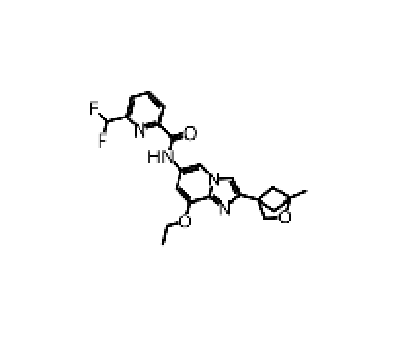 CCOc1cc(NC(=O)c2cccc(C(F)F)n2)cn2cc(C34COC(C)(C3)C4)nc12